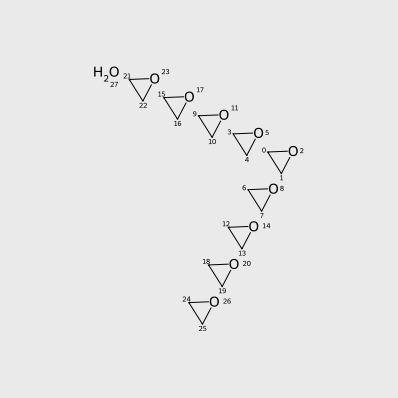 C1CO1.C1CO1.C1CO1.C1CO1.C1CO1.C1CO1.C1CO1.C1CO1.C1CO1.O